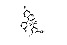 N#Cc1cc(F)cc(S(=O)(=O)c2cnc3cc(F)ccc3c2-c2cccc(F)c2)c1